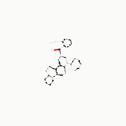 O=C(c1ccccc1[N+](=O)[O-])C1C=c2c(ccc3c2=CCc2ccccc2-3)C(C2=CC=CC=CN2)C1